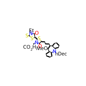 CCCCCCCCCCN1c2ccccc2C(/C=C/C=c2/s/c(=C3/SC(=S)N(CC)C3=O)n(CC(=O)O)c2=O)=C(OC)c2ccccc21